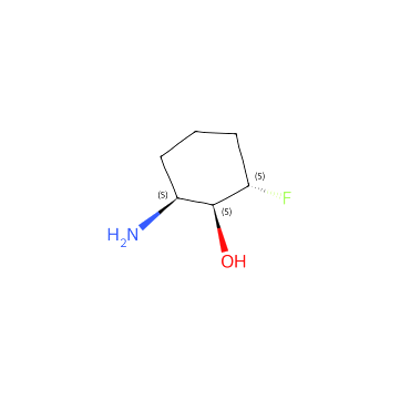 N[C@H]1CCC[C@H](F)[C@H]1O